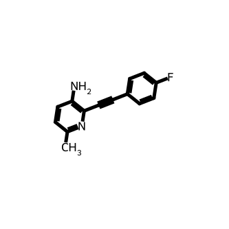 Cc1ccc(N)c(C#Cc2ccc(F)cc2)n1